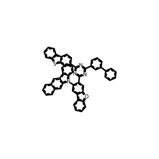 c1ccc(-c2cccc(-c3nc(-c4ccc5c(c4)sc4ccccc45)nc(-c4cc5oc6ccccc6c5cc4-n4c5ccccc5c5cc6ccccc6cc54)n3)c2)cc1